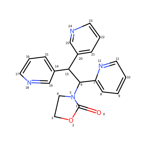 O=C1OCCN1C(c1ccccn1)C(c1cccnc1)c1cccnc1